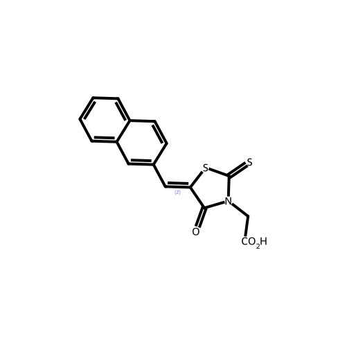 O=C(O)CN1C(=O)/C(=C/c2ccc3ccccc3c2)SC1=S